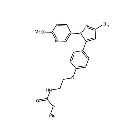 COc1ccc(-n2nc(C(F)(F)F)cc2-c2ccc(OCCNC(=O)OC(C)(C)C)cc2)cn1